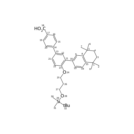 CC1(C)CCC(C)(C)c2cc(-c3cc(-c4ccc(C(=O)O)cc4)ccc3OCCCO[Si](C)(C)C(C)(C)C)ccc21